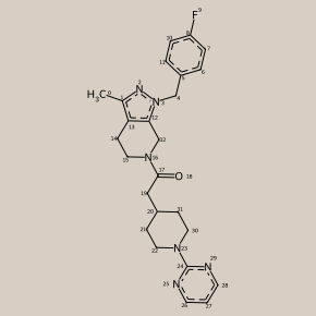 Cc1nn(Cc2ccc(F)cc2)c2c1CCN(C(=O)CC1CCN(c3ncccn3)CC1)C2